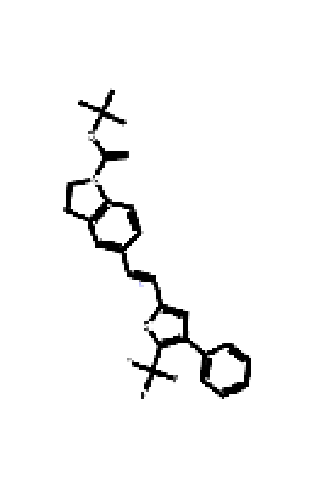 CC(C)(C)OC(=O)N1CCc2cc(/C=C/c3cc(-c4ccccc4)c(C(F)(F)F)s3)ccc21